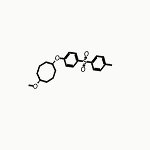 CO[C@H]1CCC[C@@H](Oc2ccc(S(=O)(=O)c3ccc(C)cc3)cc2)CCC1